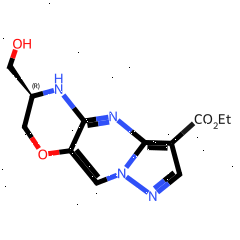 CCOC(=O)c1cnn2cc3c(nc12)N[C@H](CO)CO3